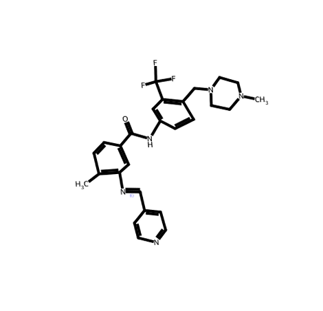 Cc1ccc(C(=O)Nc2ccc(CN3CCN(C)CC3)c(C(F)(F)F)c2)cc1/N=C/c1ccncc1